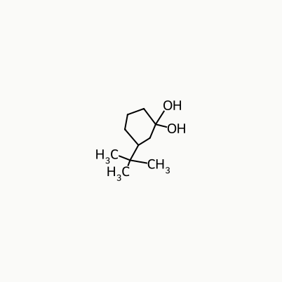 CC(C)(C)C1CCCC(O)(O)C1